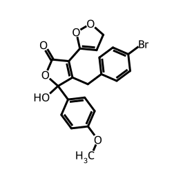 COc1ccc(C2(O)OC(=O)C(C3=CCOO3)=C2Cc2ccc(Br)cc2)cc1